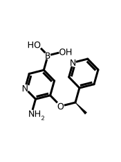 C[C@@H](Oc1cc(B(O)O)cnc1N)c1cccnc1